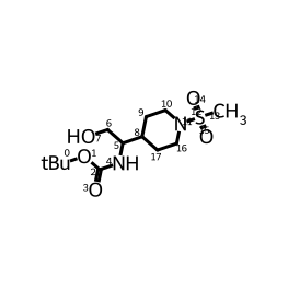 CC(C)(C)OC(=O)NC(CO)C1CCN(S(C)(=O)=O)CC1